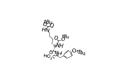 CC(C)(C)OC(=O)NCCCC[C@H](NC(=O)OC(C)(C)C)C(=O)N[C@@H](Cc1ccc(OC(C)(C)C)cc1)C(=O)O